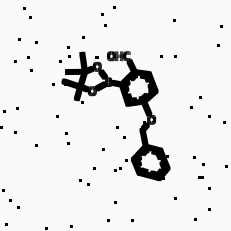 CC1(C)OB(c2cc(OCc3ccccc3)ccc2C=O)OC1(C)C